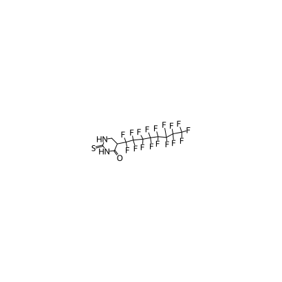 O=C1NC(=S)NCC1C(F)(F)C(F)(F)C(F)(F)C(F)(F)C(F)(F)C(F)(F)C(F)(F)C(F)(F)F